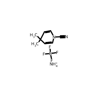 CC1(C)C=CN(C#N)C=C1.F[B-](F)(F)F.[NH4+]